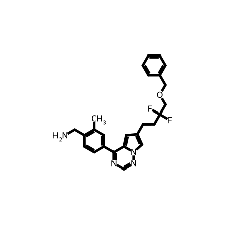 Cc1cc(-c2ncnn3cc(CCC(F)(F)COCc4ccccc4)cc23)ccc1CN